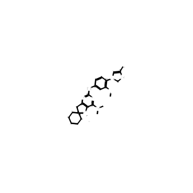 COc1cc(Nc2nc3c(c(N(C)C)n2)[S+]([O-])C2(CCCCC2)C3)ccc1N1C=C(C)NC1